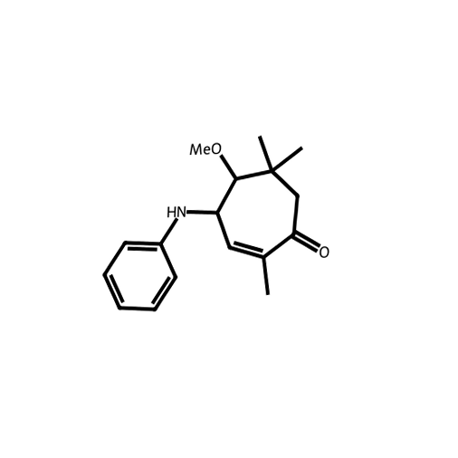 COC1C(Nc2ccccc2)C=C(C)C(=O)CC1(C)C